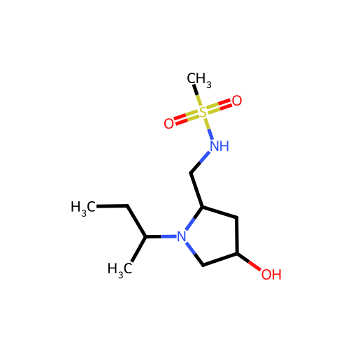 CCC(C)N1CC(O)CC1CNS(C)(=O)=O